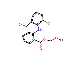 CCOCOC(=O)c1ccccc1Nc1c(Cl)cccc1CCl